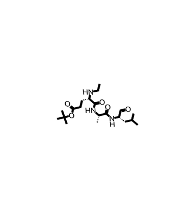 CCN[C@@H](CCC(=O)OC(C)(C)C)C(=O)N[C@@H](C)C(=O)N[C@H](C=O)CC(C)C